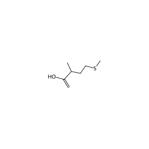 C=C(O)C(C)CCSC